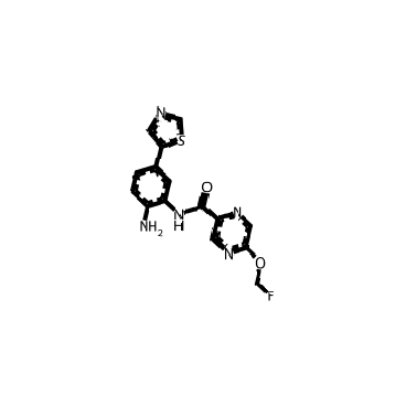 Nc1ccc(-c2cncs2)cc1NC(=O)c1cnc(OCF)cn1